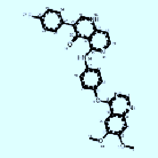 COc1cc2ncnc(Oc3ccc(Nc4nccc5[nH]cc(-c6ccc(F)cc6)c(=O)c45)cc3)c2cc1OC